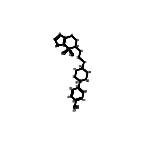 O=S1(=O)c2sccc2CCC1CCCN1CCN(c2ccc(O)cc2)CC1